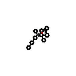 C1=CCC(n2c3ccccc3c3ccccc32)C(c2ccc(N(c3ccccc3)c3ccc(-c4ccc(-c5ccccc5)cc4)cc3)cc2-c2ccccc2)=C1